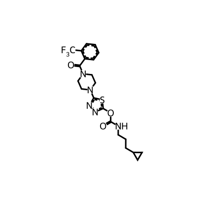 O=C(NCCCC1CC1)Oc1nnc(N2CCN(C(=O)c3ccccc3C(F)(F)F)CC2)s1